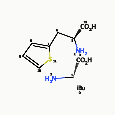 CC[C@H](C)[C@H](N)C(=O)O.N[C@@H](Cc1cccs1)C(=O)O